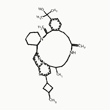 C=C1CCc2ccc(C(C)(C)O)cc2C(=C)N2CCCCC2c2cc3nc(C4CC(C)C4)cc(n3n2)C(C)CCN1